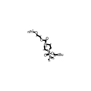 CCCOCCOC(=O)N1CCN(P(=O)(OCC(C)(C)C)N(C)C)CC1